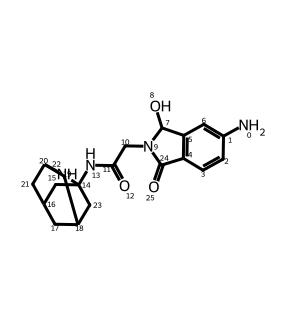 Nc1ccc2c(c1)C(O)N(CC(=O)NC13CC4CC(CC(C4)N1)C3)C2=O